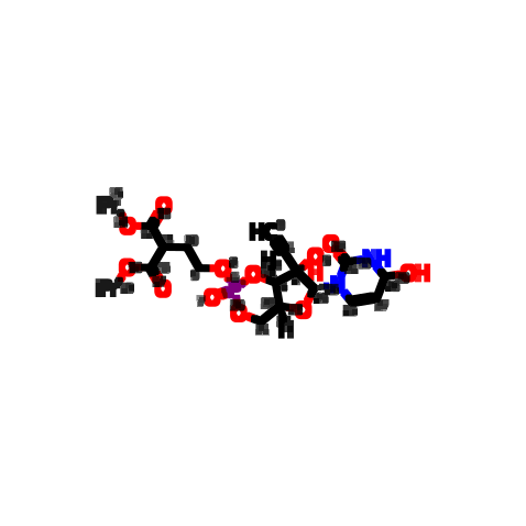 C#C[C@@]1(O)[C@@H]2O[P@](=O)(OCCC(C(=O)OC(C)C)C(=O)OC(C)C)OC[C@H]2O[C@H]1N1C=CC(O)NC1=O